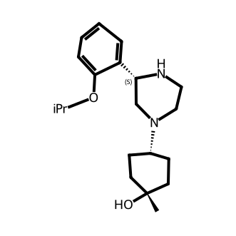 CC(C)Oc1ccccc1[C@H]1CN([C@H]2CC[C@@](C)(O)CC2)CCN1